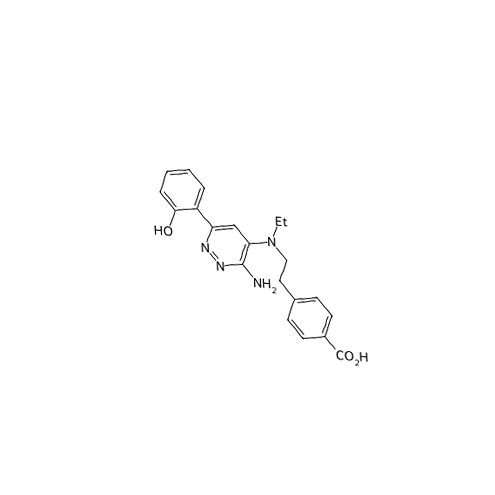 CCN(CCc1ccc(C(=O)O)cc1)c1cc(-c2ccccc2O)nnc1N